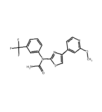 COc1cc(-c2csc(N(C(N)=O)c3cccc(C(F)(F)F)c3)n2)ccn1